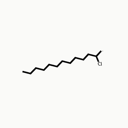 [CH2]C(Cl)CCCCCCCCCCC